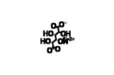 O=C([O-])[C@@H](O)[C@@H](O)[C@H](O)[C@@H](O)C(=O)[O-].[Sr+2]